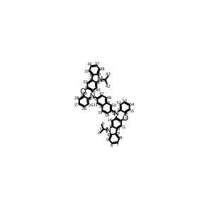 CC(C)n1c2ccccc2c2cc3c(cc21)N(c1ccc2cc(N4c5ccccc5Oc5cc6c7ccccc7n(C(C)C)c6cc54)ccc2c1)c1ccccc1O3